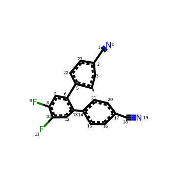 N#Cc1ccc(-c2cc(F)c(F)cc2-c2ccc(C#N)cc2)cc1